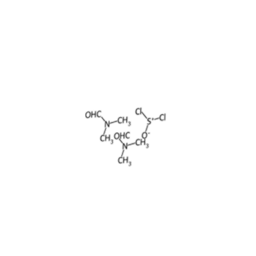 CN(C)C=O.CN(C)C=O.[O-][S+](Cl)Cl